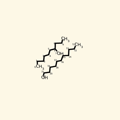 CCCCCCC(O)CCC.CCCCCCCCCCCO